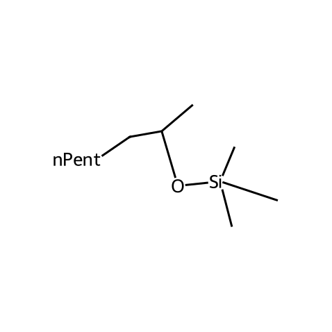 CCCCCCC(C)O[Si](C)(C)C